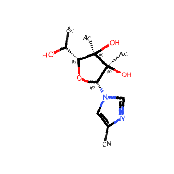 CC(=O)C(O)[C@H]1O[C@@H](n2cnc(C#N)c2)[C@@](O)(C(C)=O)[C@@]1(O)C(C)=O